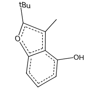 Cc1c(C(C)(C)C)oc2cccc(O)c12